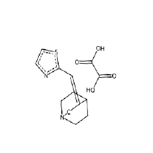 C(=C1/CN2CCC1CC2)/c1nccs1.O=C(O)C(=O)O